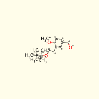 COc1ccc(C=O)cc1CCO[Si](C)(C)C(C)(C)C